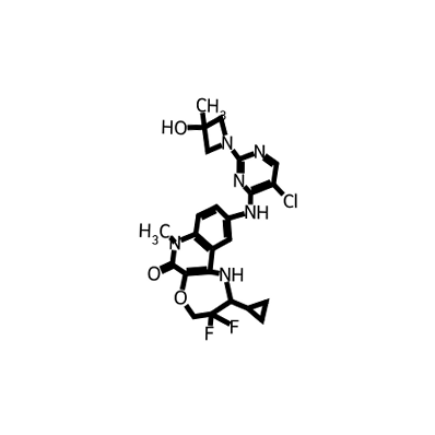 Cn1c(=O)c2c(c3cc(Nc4nc(N5CC(C)(O)C5)ncc4Cl)ccc31)NC(C1CC1)C(F)(F)CO2